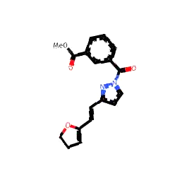 COC(=O)c1cccc(C(=O)n2ccc(/C=C/C3=CCCO3)n2)c1